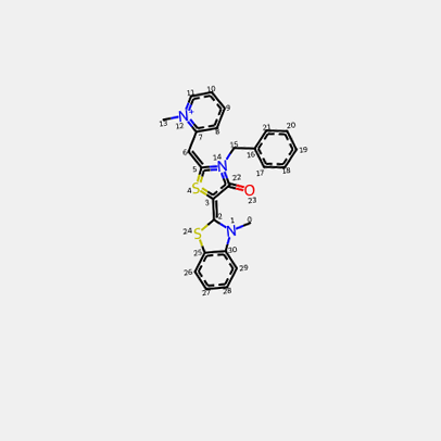 CN1C(=c2sc(=Cc3cccc[n+]3C)n(Cc3ccccc3)c2=O)Sc2ccccc21